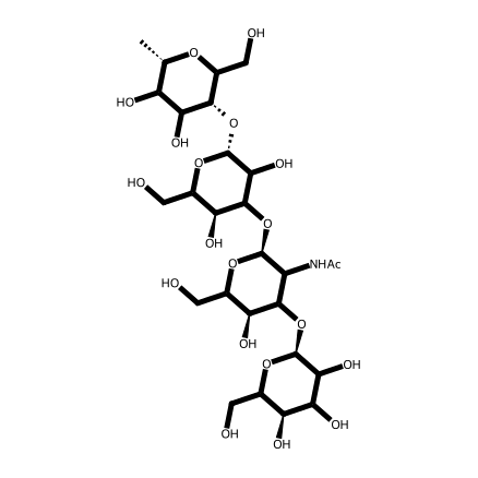 CC(=O)NC1C(O[C@@H]2OC(CO)[C@H](O)C(O)C2O)[C@@H](O)C(CO)O[C@H]1OC1C(O)[C@@H](O[C@H]2C(CO)O[C@@H](C)C(O)C2O)OC(CO)[C@@H]1O